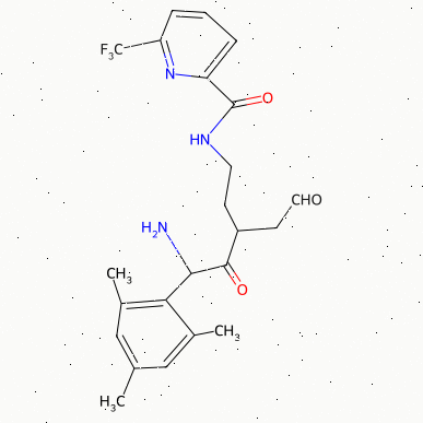 Cc1cc(C)c(C(N)C(=O)C(CC=O)CCNC(=O)c2cccc(C(F)(F)F)n2)c(C)c1